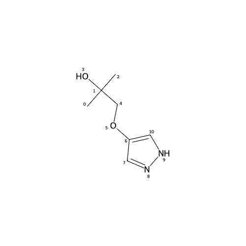 CC(C)(O)COc1cn[nH]c1